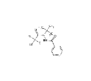 CC(C)(C)N(NC(=O)c1ccccc1)C(=O)C(Cl)(Cl)Cl